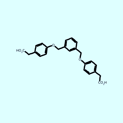 O=C(O)Cc1ccc(OCc2cccc(COc3ccc(CC(=O)O)cc3)c2)cc1